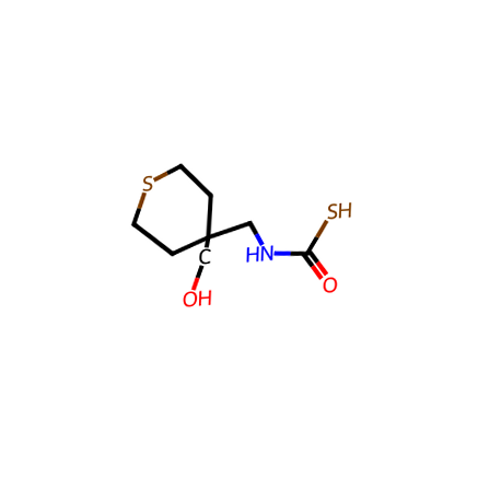 O=C(S)NCC1(CO)CCSCC1